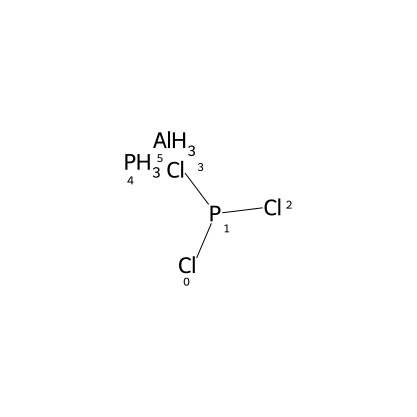 ClP(Cl)Cl.P.[AlH3]